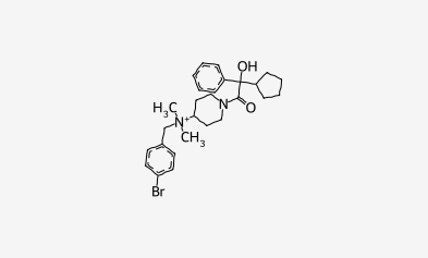 C[N+](C)(Cc1ccc(Br)cc1)C1CCN(C(=O)C(O)(c2ccccc2)C2CCCC2)CC1